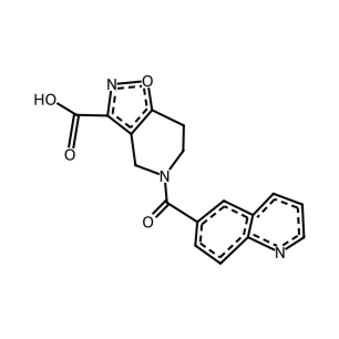 O=C(O)c1noc2c1CN(C(=O)c1ccc3ncccc3c1)CC2